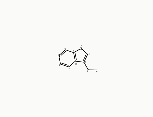 CCc1csc2cnccc12